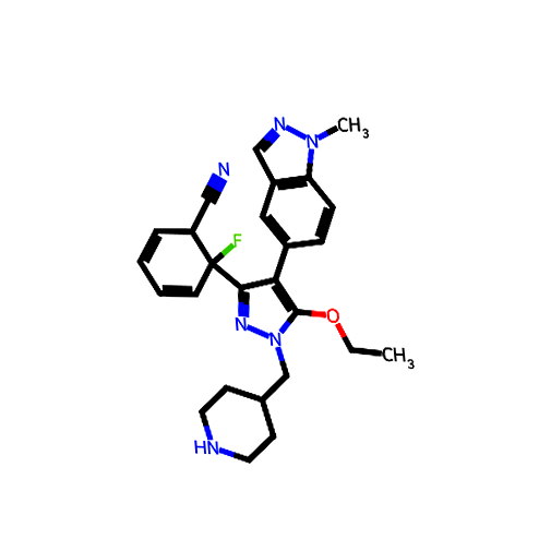 CCOc1c(-c2ccc3c(cnn3C)c2)c(C2(F)C=CC=CC2C#N)nn1CC1CCNCC1